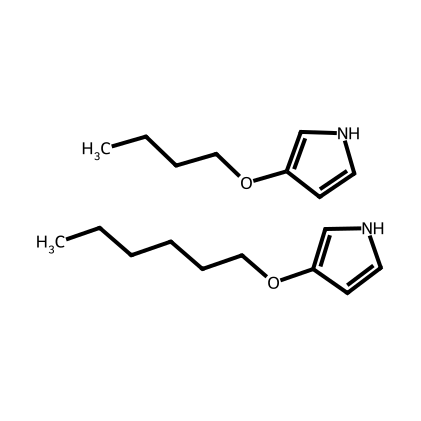 CCCCCCOc1cc[nH]c1.CCCCOc1cc[nH]c1